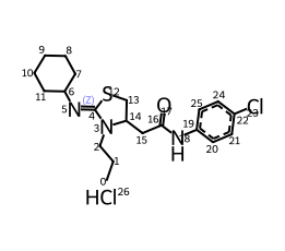 CCCN1/C(=N/C2CCCCC2)SCC1CC(=O)Nc1ccc(Cl)cc1.Cl